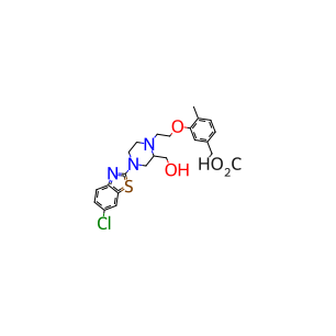 Cc1ccc(CC(=O)O)cc1OCCN1CCN(c2nc3ccc(Cl)cc3s2)CC1CO